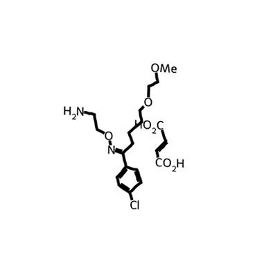 COCCOCCCCC(=NOCCN)c1ccc(Cl)cc1.O=C(O)C=CC(=O)O